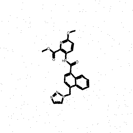 COC(=O)c1nc(OC)ccc1NC(=O)c1ccc(Cn2ccnn2)c2ccccc12